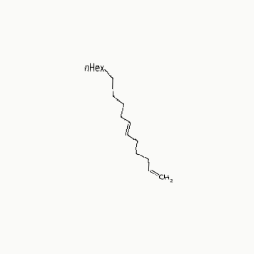 [CH2]CCCCCCCCCC=CCCCC=C